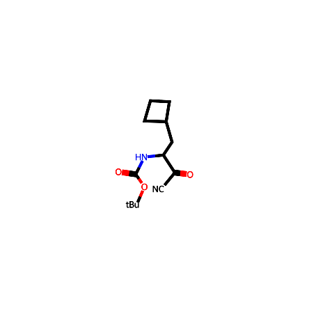 CC(C)(C)OC(=O)NC(CC1CCC1)C(=O)C#N